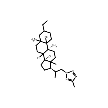 BC12CCC3(S)[C@](B)(CCC4(C)[C@@H](C(C)Cn5nnc(C)n5)CC[C@]43S)C1(B)CCC(CC)C2